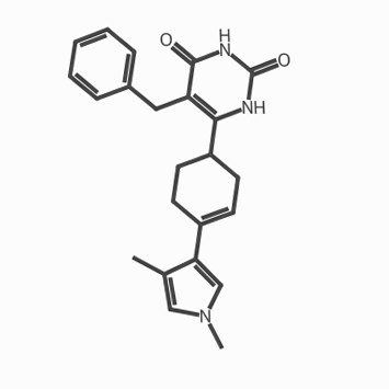 Cc1cn(C)cc1C1=CCC(c2[nH]c(=O)[nH]c(=O)c2Cc2ccccc2)CC1